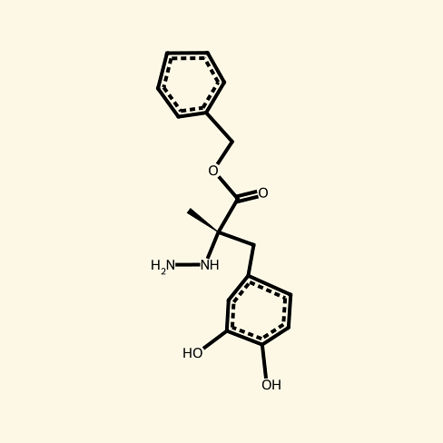 C[C@@](Cc1ccc(O)c(O)c1)(NN)C(=O)OCc1ccccc1